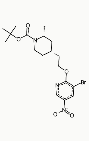 C[C@@H]1C[C@H](CCOc2ncc([N+](=O)[O-])cc2Br)CCN1C(=O)OC(C)(C)C